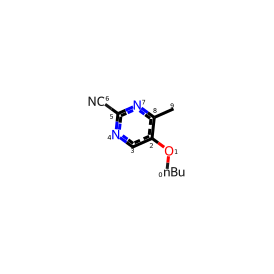 CCCCOc1cnc(C#N)nc1C